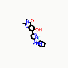 Cc1nc2cc(-c3ccc(N(C)[C@@H]4CC5CCC(N5)[C@@H]4F)nn3)c(O)cc2c(=O)n1C